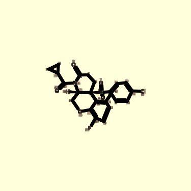 O=C1CC[C@]2(S(=O)(=O)c3ccc(Cl)cc3)c3c(F)ccc(F)c3OC[C@@H]2N1C(=O)C1CC1